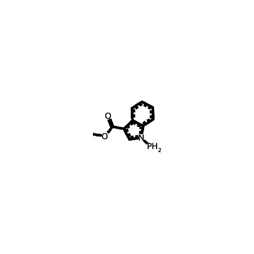 COC(=O)c1cn(P)c2ccccc12